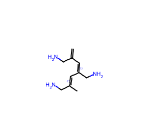 C=C(/C=C(\C=C(/C)CN)CN)CN